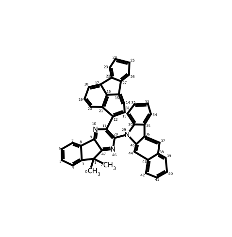 CC1(C)c2ccccc2-c2nc(-c3ccc4c5c(cccc35)-c3ccccc3-4)c(-n3c4ccccc4c4cc5ccccc5cc43)nc21